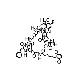 CC[C@@]1(O)C(=O)OCc2c1cc1n(c2=O)Cc2c-1nc1cc(F)c(C)c3c1c2[C@@](C)(NC(=O)COCNC(=O)CNC(=O)[C@H](Cc1ccccc1)NC(=O)CNC(=O)CNC(=O)CCCCCN1C(=O)C=CC1=O)CC3